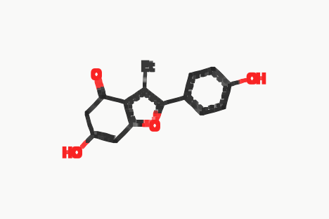 CCc1c(-c2ccc(O)cc2)oc2c1C(=O)CC(O)=C2